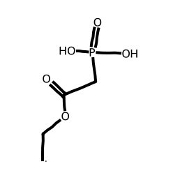 [CH2]COC(=O)CP(=O)(O)O